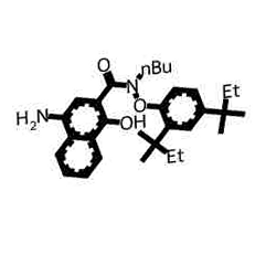 CCCCN(Oc1ccc(C(C)(C)CC)cc1C(C)(C)CC)C(=O)c1cc(N)c2ccccc2c1O